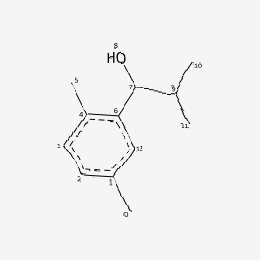 Cc1ccc(C)c(C(O)C(C)C)c1